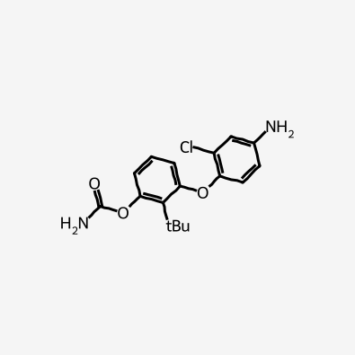 CC(C)(C)c1c(OC(N)=O)cccc1Oc1ccc(N)cc1Cl